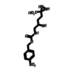 O=C(NCC(S)CCC1(C(=O)O)NN1)OCc1ccc([N+](=O)[O-])cc1